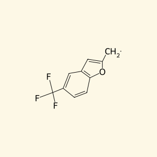 [CH2]c1cc2cc(C(F)(F)F)ccc2o1